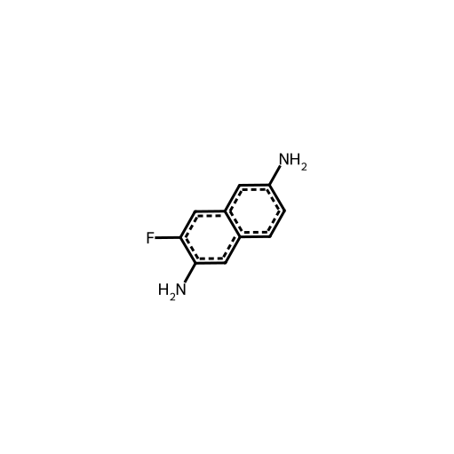 Nc1ccc2cc(N)c(F)cc2c1